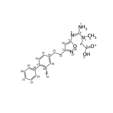 CN(CC(=O)O)C(N)=Nc1cc(CCc2ccc(-c3ccccc3)c(F)c2)no1